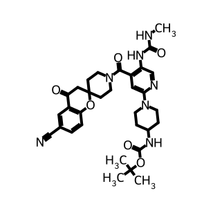 CNC(=O)Nc1cnc(N2CCC(NC(=O)OC(C)(C)C)CC2)cc1C(=O)N1CCC2(CC1)CC(=O)c1cc(C#N)ccc1O2